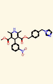 COC(=O)C1=C(C)NC(C)=C(C(=O)OCc2ccc(Cn3ccnc3)cc2)C1c1cccc([N+](=O)[O-])c1